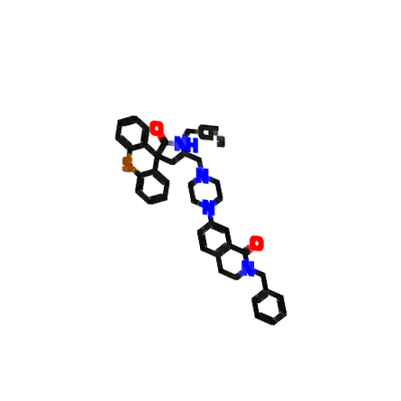 O=C1c2cc(N3CCN(CCCC4(C(=O)NCC(F)(F)F)c5ccccc5Sc5ccccc54)CC3)ccc2CCN1Cc1ccccc1